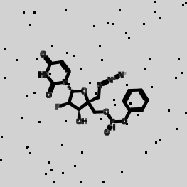 [N-]=[N+]=NC[C@]1(CO[PH](=O)Oc2ccccc2)O[C@@H](n2ccc(=O)[nH]c2=O)[C@H](F)[C@@H]1O